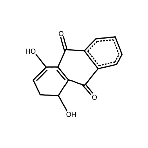 O=C1C2=C(C(=O)c3ccccc31)C(O)CC=C2O